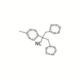 Cc1ccc(C(C#N)(Cc2ccccc2)Cc2ccccc2)cc1